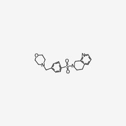 O=S(=O)(c1ccc(CN2CCOCC2)cc1)N1CCc2cccnc2C1